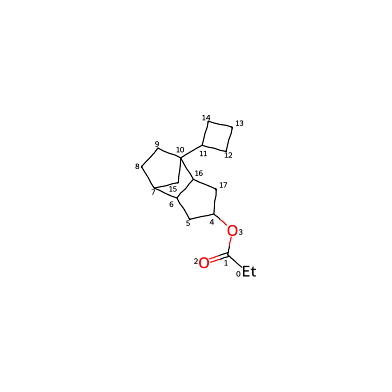 CCC(=O)OC1CC2C3CCC(C4CCC4)(C3)C2C1